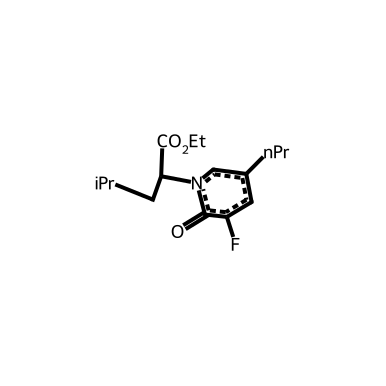 CCCc1cc(F)c(=O)n(C(CC(C)C)C(=O)OCC)c1